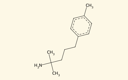 Cc1ccc(CCCC(C)(C)N)cc1